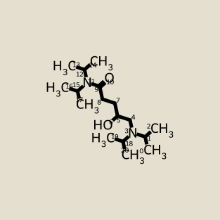 CC(C)N(CC(O)CCC(=O)N(C(C)C)C(C)C)C(C)C